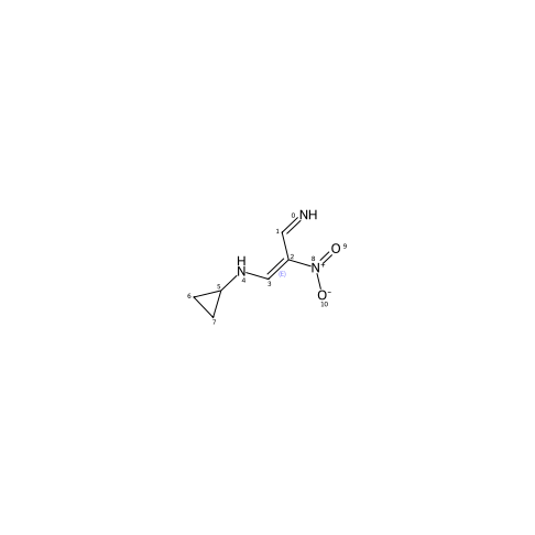 N=C/C(=C\NC1CC1)[N+](=O)[O-]